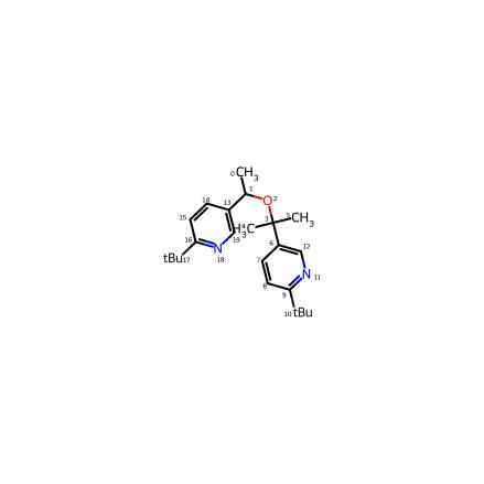 CC(OC(C)(C)c1ccc(C(C)(C)C)nc1)c1ccc(C(C)(C)C)nc1